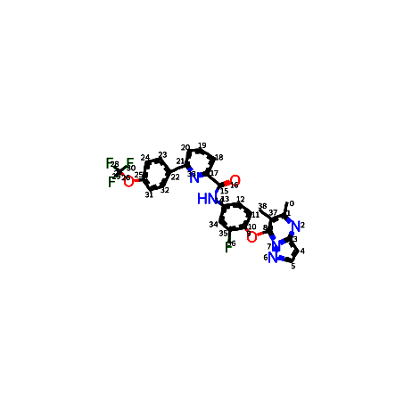 Cc1nc2ccnn2c(Oc2ccc(NC(=O)c3cccc(-c4ccc(OC(F)(F)F)cc4)n3)cc2F)c1C